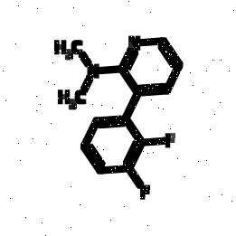 CN(C)c1ncccc1-c1cccc(F)c1F